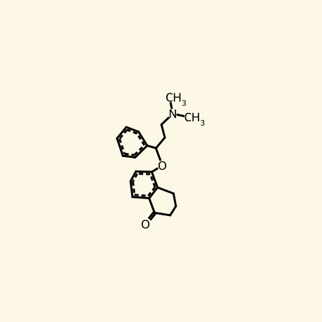 CN(C)CCC(Oc1cccc2c1CCCC2=O)c1ccccc1